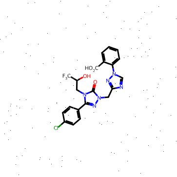 O=C(O)c1ccccc1-n1cnc(Cn2nc(-c3ccc(Cl)cc3)n(CC(O)C(F)(F)F)c2=O)n1